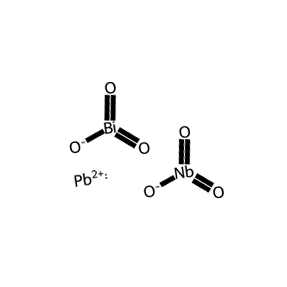 [O]=[Bi](=[O])[O-].[O]=[Nb](=[O])[O-].[Pb+2]